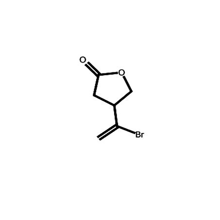 C=C(Br)C1COC(=O)C1